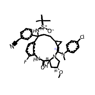 CO[C@@H]1C[C@@H]2C(=O)Nc3cc(ccc3F)C(N[S@+]([O-])C(C)(C)C)(c3cccc(C#N)c3)CCC3C/C3=C(\N(C)c3ccc(Cl)cc3)N2C1